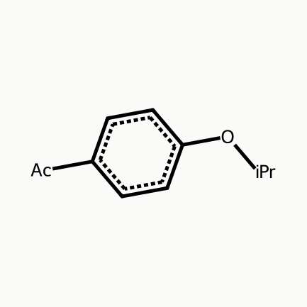 CC(=O)c1ccc(OC(C)C)cc1